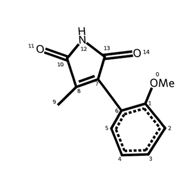 COc1ccccc1C1=C(C)C(=O)NC1=O